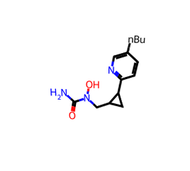 CCCCc1ccc(C2CC2CN(O)C(N)=O)nc1